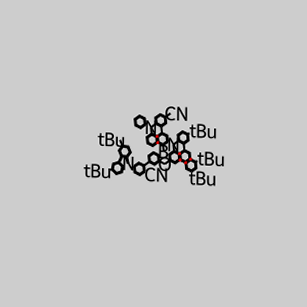 CC(C)(C)c1cc(-c2cc3c4c(c2)N(c2ccc(C(C)(C)C)cc2-c2ccccc2)c2cc(-c5cc(C#N)ccc5N(c5ccccc5)c5ccccc5)ccc2B4c2ccc(-c4cc(-n5c6ccc(C(C)(C)C)cc6c6cc(C(C)(C)C)ccc65)ccc4C#N)cc2O3)cc(C(C)(C)C)c1